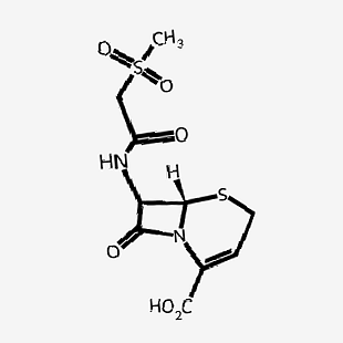 CS(=O)(=O)CC(=O)NC1C(=O)N2C(C(=O)O)=CCS[C@@H]12